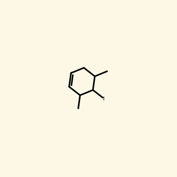 CC1C=CCC(C)C1I